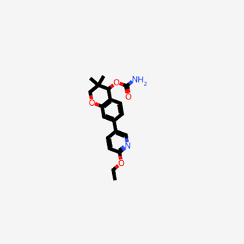 CCOc1ccc(-c2ccc3c(c2)OCC(C)(C)C3OC(N)=O)cn1